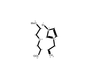 C=CC[n+]1ccn(CC)c1.COCCOCCC(=O)[O-]